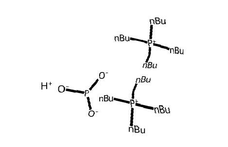 CCCC[P+](CCCC)(CCCC)CCCC.CCCC[P+](CCCC)(CCCC)CCCC.[H+].[O-]P([O-])[O-]